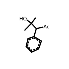 CC(=O)C(c1ccccc1)C(C)(C)O